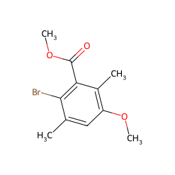 COC(=O)c1c(C)c(OC)cc(C)c1Br